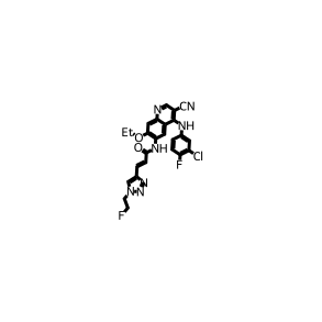 CCOc1cc2ncc(C#N)c(Nc3ccc(F)c(Cl)c3)c2cc1NC(=O)C=Cc1cn(CCF)nn1